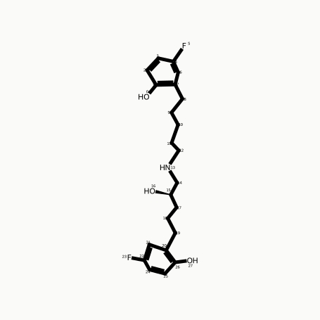 Oc1ccc(F)cc1CCCCCNC[C@H](O)CCCc1cc(F)ccc1O